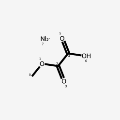 COC(=O)C(=O)O.[Nb]